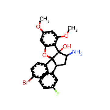 COc1cc(OC)c2c(c1)OC1(c3ccc(Br)cc3)C(c3cccc(F)c3)CC(N)C21O